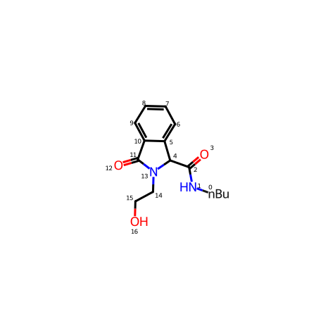 CCCCNC(=O)C1c2ccccc2C(=O)N1CCO